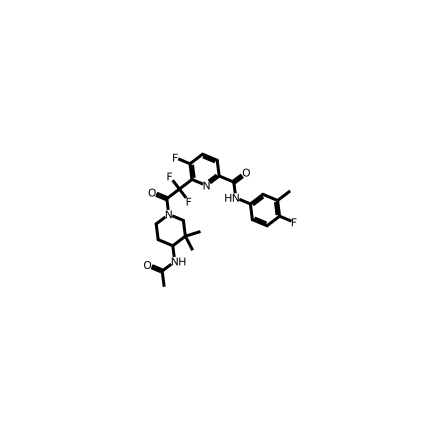 CC(=O)NC1CCN(C(=O)C(F)(F)c2nc(C(=O)Nc3ccc(F)c(C)c3)ccc2F)CC1(C)C